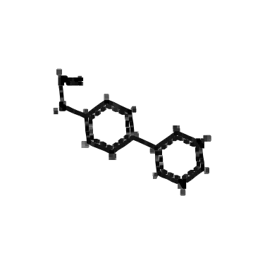 CCCC(C)Sc1ccc(-c2cncnc2)cc1